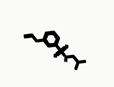 C=CCc1cccc(S(=O)(=O)NCC(C)C)c1